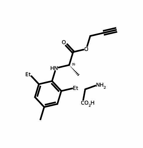 C#CCOC(=O)[C@H](C)Nc1c(CC)cc(C)cc1CC.NCC(=O)O